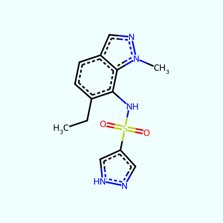 CCc1ccc2cnn(C)c2c1NS(=O)(=O)c1cn[nH]c1